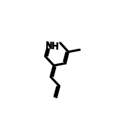 C=C/C=C(/C=N)C=C(C)C